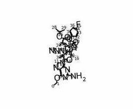 CCOc1nc(N)nc2c1ncn2[C@H](O[C@@H](C)COP(=O)(N[C@@H](C)C(=O)OC(C)C)Oc1ccc(F)cc1)[C@@](C)(CO)N=[N+]=[N-]